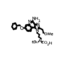 COCCc1nc2c(N)nc3cc(OCc4ccccc4)ccc3c2n1CCCCN(C(=O)O)C(C)(C)C